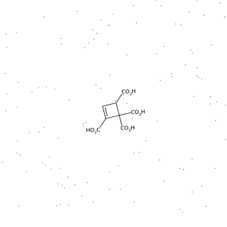 O=C(O)C1=CC(C(=O)O)C1(C(=O)O)C(=O)O